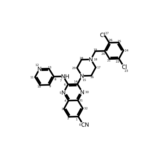 N#Cc1ccc2nc(Nc3cccnc3)c(N3CCN(Cc4cc(Cl)ccc4Cl)CC3)nc2c1